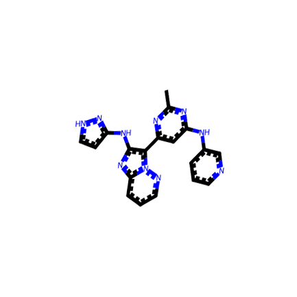 Cc1nc(Nc2cccnc2)cc(-c2c(Nc3cc[nH]n3)nc3cccnn23)n1